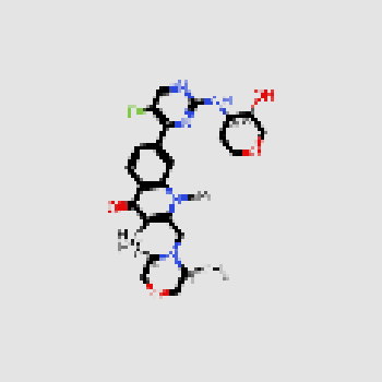 Cc1c(CN2[C@@H](C)COC[C@@H]2C)n(C(C)C)c2cc(-c3nc(N[C@@H]4CCOC[C@H]4O)ncc3F)ccc2c1=O